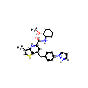 CO[C@@H]1CCCC[C@H]1NC(=O)c1cc(Cc2ccc(-n3cccn3)cc2)c2scc(C)c2n1